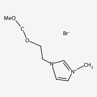 COCOCCn1cc[n+](C)c1.[Br-]